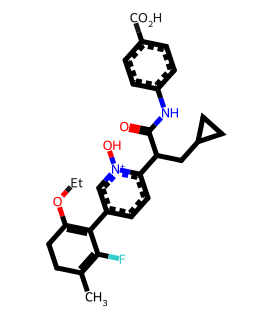 CCOC1=C(c2ccc(C(CC3CC3)C(=O)Nc3ccc(C(=O)O)cc3)[n+](O)c2)C(F)=C(C)CC1